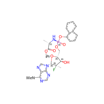 CNc1ncnc2c1ncn2[C@@H]1O[C@H](CO[P@](=O)(N[C@@H](C)C(=O)OC(C)C)Oc2cccc3ccccc23)[C@@H](O)[C@@]1(C)F